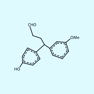 COc1cccc(C(CCC=O)c2ccc(O)cc2)c1